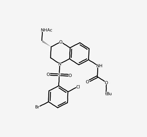 CC(=O)NC[C@H]1CN(S(=O)(=O)c2cc(Br)ccc2Cl)c2cc(NC(=O)OC(C)(C)C)ccc2O1